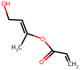 C=CC(=O)O/C(C)=C/CO